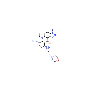 C=Cn1c2ccc3[nH]ncc3c2c(=O)c2c(NCCCN3CCOCC3)ccc(N)c21